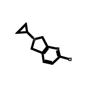 Clc1ccc2c(n1)CN(C1CC1)C2